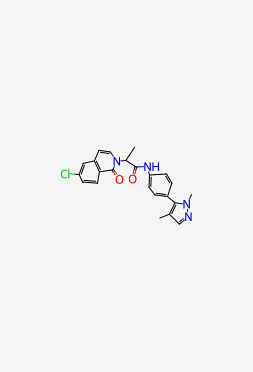 Cc1cnn(C)c1-c1ccc(NC(=O)C(C)n2ccc3cc(Cl)ccc3c2=O)cc1